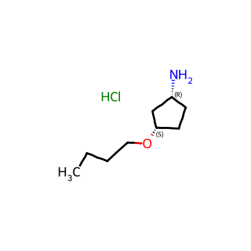 CCCCO[C@H]1CC[C@@H](N)C1.Cl